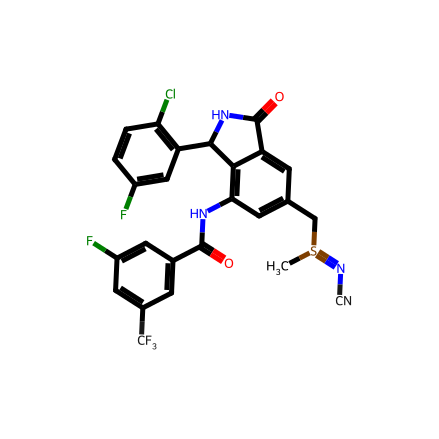 C/S(Cc1cc(NC(=O)c2cc(F)cc(C(F)(F)F)c2)c2c(c1)C(=O)NC2c1cc(F)ccc1Cl)=N\C#N